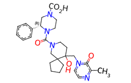 Cc1nccn(CC2(O)CCN(C(=O)N3CCN(C(=O)O)C[C@H]3c3ccccc3)CC23CCCC3)c1=O